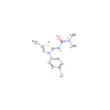 Cc1cn(-c2ccc(Cl)cc2)/c(=N/C(=O)N(C(C)C)C(C)C)s1